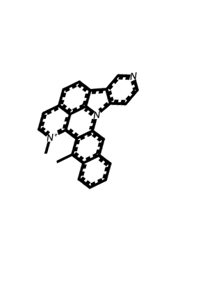 Cc1c2ccccc2cc2c1c1c3c(ccc4c5cnccc5n2c43)cc[n+]1C